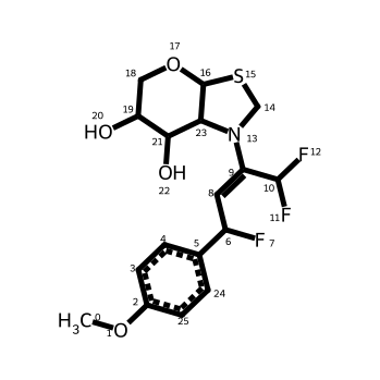 COc1ccc(C(F)C=C(C(F)F)N2CSC3OCC(O)C(O)C32)cc1